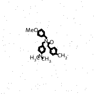 [CH2]c1ccc([CH]C(=O)N(Cc2ccc(OC)cc2)Cc2ccc(N(C)C)cc2)cc1